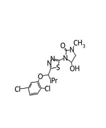 CC(C)C(Oc1cc(Cl)ccc1Cl)c1nnc(N2C(=O)N(C)CC2O)s1